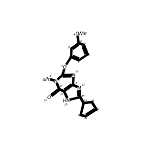 CCCn1c(Oc2cccc(OC)c2)nc2nc(C3CC=CC3)[nH]c2c1=O